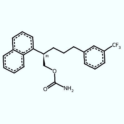 NC(=O)OC[C@H](CCCc1cccc(C(F)(F)F)c1)c1cccc2ccccc12